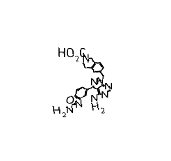 Nc1nc2cc(-c3nn(Cc4ccc5c(c4)CCN(C(=O)O)C5)c4ncnc(N)c34)ccc2o1